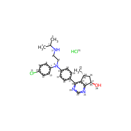 CC(C)NCCN(c1ccc(Cl)cc1)c1ccc(-c2ncnc3c2[C@H](C)C[C@H]3O)cc1.Cl